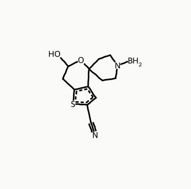 BN1CCC2(CC1)OC(O)Cc1sc(C#N)cc12